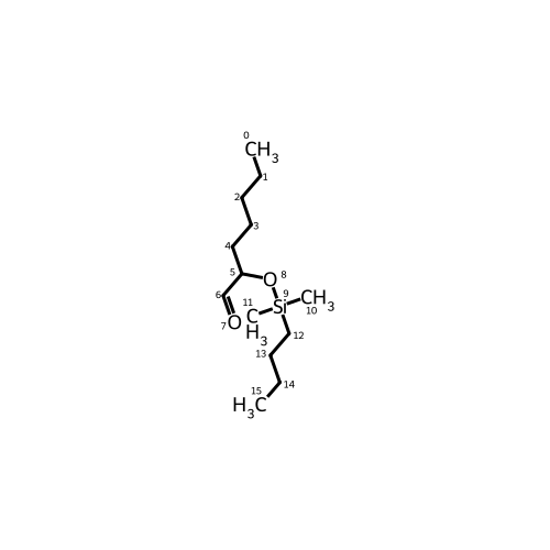 CCCCCC(C=O)O[Si](C)(C)CCCC